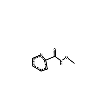 CONC(=O)c1c[c]ccn1